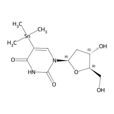 [CH3][Sn]([CH3])([CH3])[c]1cn([C@H]2C[C@H](O)[C@@H](CO)O2)c(=O)[nH]c1=O